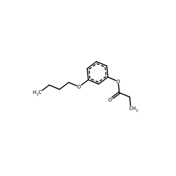 CCCCOc1cccc(OC(=O)CC)c1